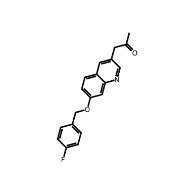 CC(=O)Cc1cnc2cc(OCc3ccc(F)cc3)ccc2c1